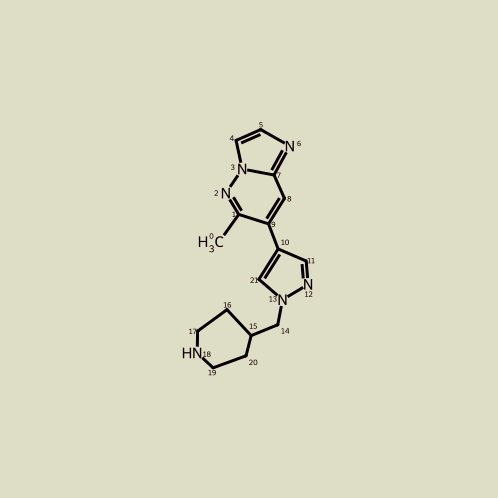 Cc1nn2ccnc2cc1-c1cnn(CC2CCNCC2)c1